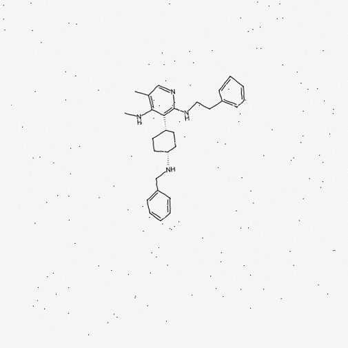 CNc1c(C)cnc(NCCc2ccccc2)c1[C@H]1CC[C@@H](NCc2ccccc2)CC1